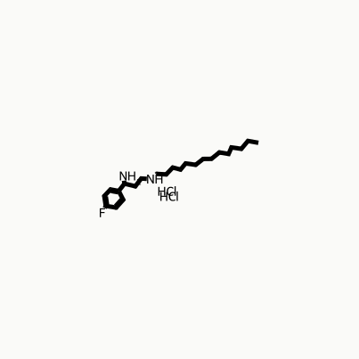 CCCCCCCCCCCCCCNCCC(N)c1ccc(F)cc1.Cl.Cl